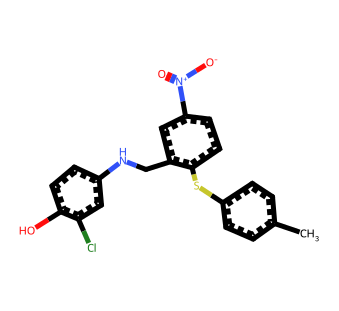 Cc1ccc(Sc2ccc([N+](=O)[O-])cc2CNc2ccc(O)c(Cl)c2)cc1